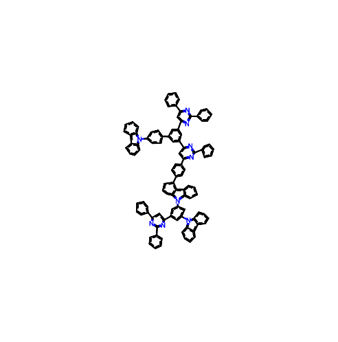 c1ccc(-c2cc(-c3cc(-c4ccc(-n5c6ccccc6c6ccccc65)cc4)cc(-c4cc(-c5ccc(-c6cccc7c6c6ccccc6n7-c6cc(-c7cc(-c8ccccc8)nc(-c8ccccc8)n7)cc(-n7c8ccccc8c8ccccc87)c6)cc5)nc(-c5ccccc5)n4)c3)nc(-c3ccccc3)n2)cc1